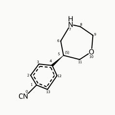 [C-]#[N+]c1ccc([C@H]2CNCCOC2)cc1